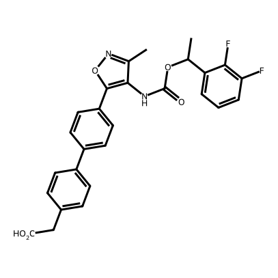 Cc1noc(-c2ccc(-c3ccc(CC(=O)O)cc3)cc2)c1NC(=O)OC(C)c1cccc(F)c1F